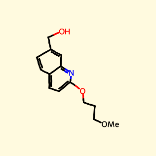 COCCCOc1ccc2ccc(CO)cc2n1